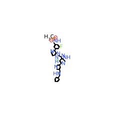 CS(=O)(=O)NCc1cc(F)cc(-c2nccc3[nH]c(-c4n[nH]c5cnc(-c6cncc(CNCc7ccccc7)c6)c(F)c45)nc23)c1